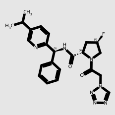 CC(C)c1ccc([C@@H](NC(=O)[C@@H]2C[C@@H](F)CN2C(=O)Cn2cnnn2)c2ccccc2)nc1